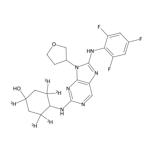 [2H]C1(O)CC([2H])([2H])C(Nc2ncc3nc(Nc4c(F)cc(F)cc4F)n(C4CCOC4)c3n2)C([2H])([2H])C1